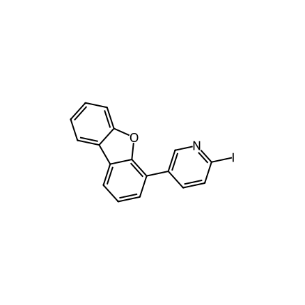 Ic1ccc(-c2cccc3c2oc2ccccc23)cn1